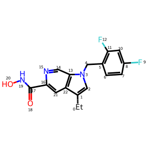 CCc1cn(Cc2ccc(F)cc2F)c2cnc(C(=O)NO)cc12